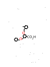 Cc1ccccc1CCOc1cc(COCc2ccccc2)cc(C(=O)O)c1